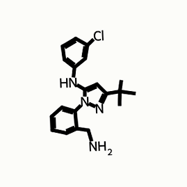 CC(C)(C)c1cc(Nc2cccc(Cl)c2)n(-c2ccccc2CN)n1